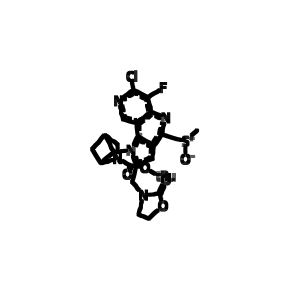 C[S+]([O-])c1nc2c(F)c(Cl)ncc2c2c1cc(CN1CCOC1=O)n2C1C2CC1N(C(=O)OC(C)(C)C)C2